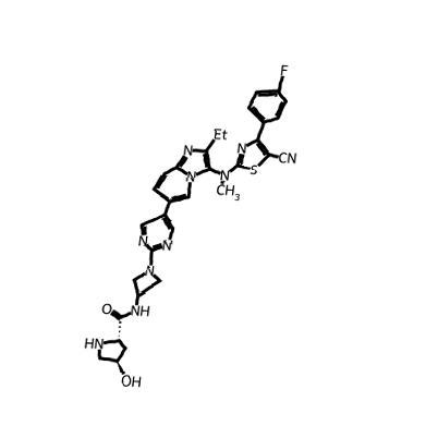 CCc1nc2ccc(-c3cnc(N4CC(NC(=O)[C@@H]5C[C@@H](O)CN5)C4)nc3)cn2c1N(C)c1nc(-c2ccc(F)cc2)c(C#N)s1